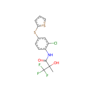 CC(O)(C(=O)Nc1ccc(Sc2cccs2)cc1Cl)C(F)(F)F